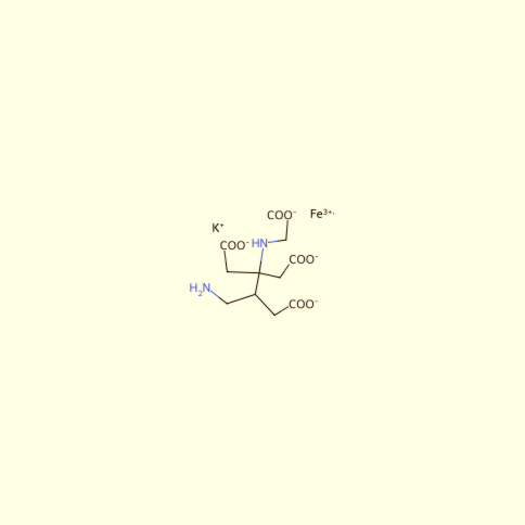 NCC(CC(=O)[O-])C(CC(=O)[O-])(CC(=O)[O-])NCC(=O)[O-].[Fe+3].[K+]